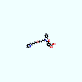 O=C(CN(CCCCCCOCCCCCCc1ccccn1)Cc1ccccc1)c1ccc(O)c(CO)c1